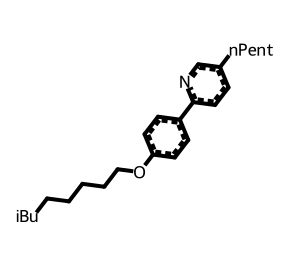 CCCCCc1ccc(-c2ccc(OCCCCCC(C)CC)cc2)nc1